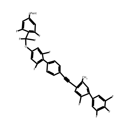 CCCCCc1cc(F)c(C(F)(F)Oc2cc(F)c(-c3ccc(C#Cc4cc(F)c(-c5cc(F)c(F)c(F)c5)cc4C)cc3)c(F)c2)c(F)c1